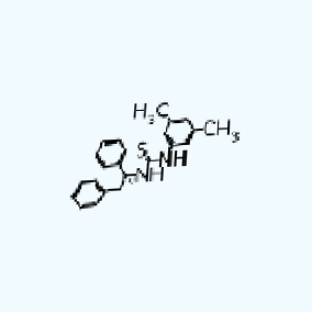 Cc1cc(C)cc(NC(=S)N[C@@H](Cc2ccccc2)c2ccccc2)c1